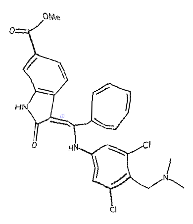 COC(=O)c1ccc2c(c1)NC(=O)/C2=C(\Nc1cc(Cl)c(CN(C)C)c(Cl)c1)c1ccccc1